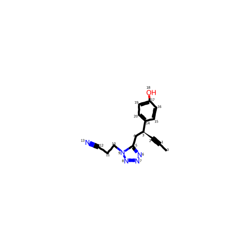 CC#C[C@@H](Cc1nnnn1CCC#N)c1ccc(O)cc1